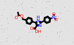 CC(=O)OCc1ccc(-c2[nH]c(-c3ccc([N+](=O)[O-])cc3)nc2C(=O)O)cc1